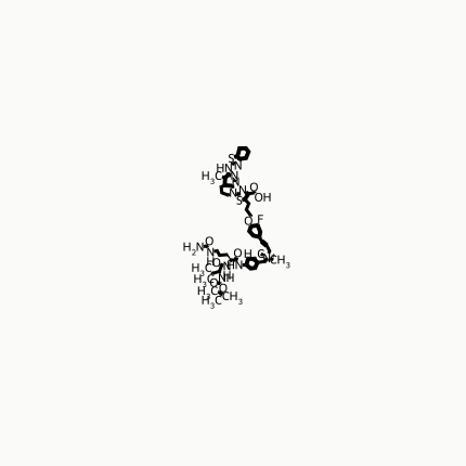 Cc1c(Nc2nc3ccccc3s2)nnc2c1CCCN2c1nc(C(=O)O)c(CCCOc2ccc(C#CC[N+](C)(C)Cc3ccc(NC(=O)[C@H](CCCNC(N)=O)NC(=O)[C@@H](NC(=O)OC(C)(C)C)C(C)C)cc3)cc2F)s1